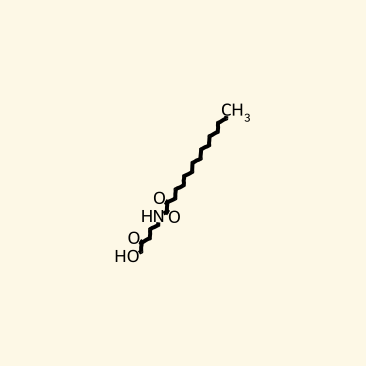 CCCCCCCCCCCCCCC(=O)C(=O)NCCCC(=O)CO